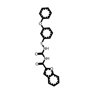 O=C(NSc1cccc(Oc2ccccc2)c1)NC(=O)c1cc2ccccc2o1